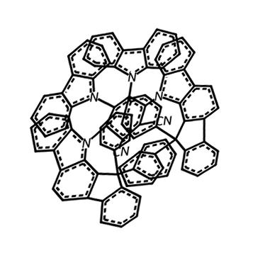 N#Cc1c(C#N)c(-n2c3ccccc3c3ccc4c(c32)C(c2ccccc2)(c2ccccc2)c2ccccc2-4)c(-n2c3ccccc3c3ccccc32)c(-n2c3ccccc3c3ccccc32)c1-n1c2ccccc2c2ccc3c(c21)C(c1ccccc1)(c1ccccc1)c1ccccc1-3